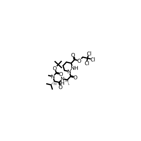 CC(C)[C@@H](C(=O)N[C@@H](C)C(=O)N1CCCC(C(=O)OCC(Cl)(Cl)Cl)N1)N(C)C(=O)OC(C)(C)C